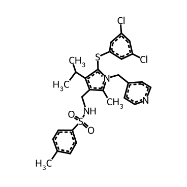 Cc1ccc(S(=O)(=O)NCc2c(C(C)C)c(Sc3cc(Cl)cc(Cl)c3)n(Cc3ccncc3)c2C)cc1